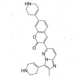 Cc1nc2ccc(-c3cc4ccc(C5=CCNCC5)cc4oc3=O)nn2c1C1=CCNCC1